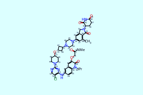 CNC(=O)COc1cc2cc(Nc3nc(N4CCC(O[C@H]5C[C@H](N6CCN(c7cc(C)c8c(c7)CN(C7CCC(=O)NC7=O)C8=O)CC6)C5)CC4)ncc3Cl)ccc2n(C(C)C)c1=O